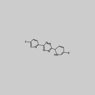 FC1=CNC(c2nnc(-c3ccc(F)cn3)nn2)C=C1